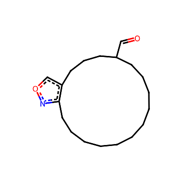 O=CC1CCCCCCCCCCCc2nocc2CCC1